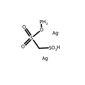 O=S(=O)(O)CS(=O)(=O)OP.[Ag].[Ag]